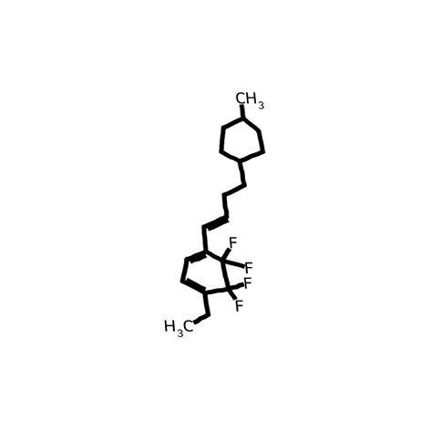 CCC1=CC=C(/C=C/CCC2CCC(C)CC2)C(F)(F)C1(F)F